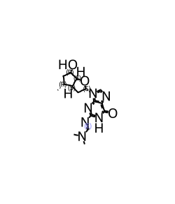 C[C@@H]1C[C@@H](O)[C@H]2O[C@H](n3cnc4c(=O)[nH]c(/N=C/N(C)C)nc43)C[C@H]21